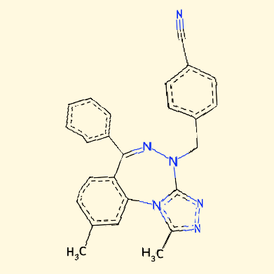 Cc1ccc2c(c1)-n1c(C)nnc1N(Cc1ccc(C#N)cc1)N=C2c1ccccc1